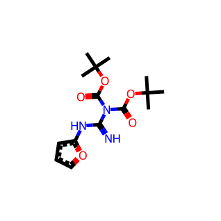 CC(C)(C)OC(=O)N(C(=N)Nc1ccco1)C(=O)OC(C)(C)C